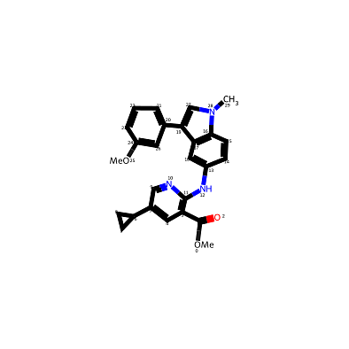 COC(=O)c1cc(C2CC2)cnc1Nc1ccc2c(c1)c(-c1cccc(OC)c1)cn2C